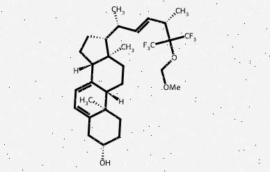 COCOC([C@@H](C)/C=C/[C@@H](C)[C@H]1CC[C@H]2C3=CC=C4C[C@@H](O)CC[C@]4(C)[C@H]3CC[C@]12C)(C(F)(F)F)C(F)(F)F